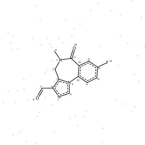 CN1Cc2c(C=O)ncn2-c2ccc(F)cc2C1=O